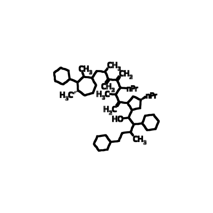 C=C(C(=C)C(CCC)C(C)C(=C)C1C[C@@H](CCC)CC1C(O)C(C(C)CCC1CCCCC1)C1CCCCC1)C(C)CC1CCC[C@H](C)C(C2CCCCC2)C1C